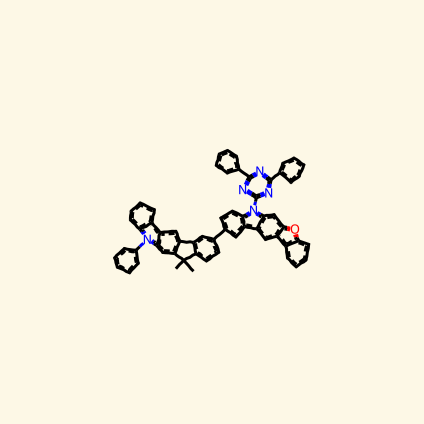 CC1(C)c2ccc(-c3ccc4c(c3)c3cc5c(cc3n4-c3nc(-c4ccccc4)nc(-c4ccccc4)n3)oc3ccccc35)cc2-c2cc3c4ccccc4n(-c4ccccc4)c3cc21